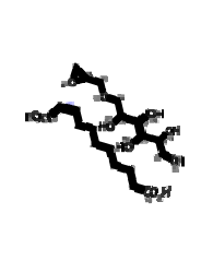 CCCCCCCC/C=C\CCCCCCCC(=O)O.OCC(O)C(O)C(O)C(O)COCC1CO1